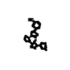 Cc1cc(-c2nnc(N3CCC[C@@H]3c3cc(-c4cccc(C#N)c4)on3)n2C)ccn1